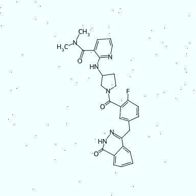 CN(C)C(=O)c1cccnc1NC1CCN(C(=O)c2cc(Cc3n[nH]c(=O)c4ccccc34)ccc2F)C1